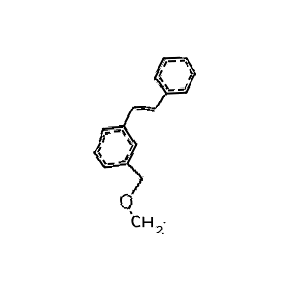 [CH2]OCc1cccc(C=Cc2ccccc2)c1